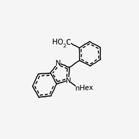 CCCCCCn1c(-c2ccccc2C(=O)O)nc2ccccc21